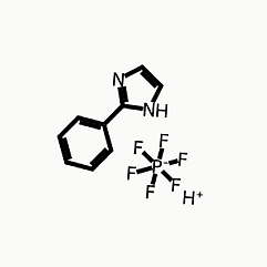 F[P-](F)(F)(F)(F)F.[H+].c1ccc(-c2ncc[nH]2)cc1